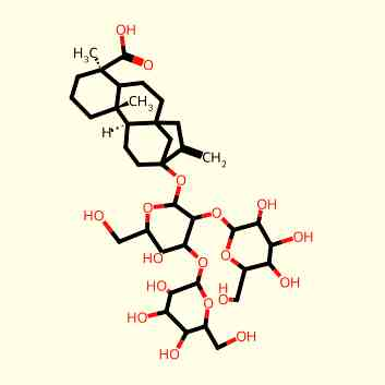 C=C1CC23CCC4[C@](C)(C(=O)O)CCC[C@@]4(C)[C@@H]2CCC1(OC1OC(CO)C(O)C(OC2OC(CO)C(O)C(O)C2O)C1OC1OC(CO)C(O)C(O)C1O)C3